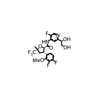 COc1c([C@@H]2C[C@](C)(C(F)(F)F)O[C@H]2C(=O)Nc2cc([C@@H](O)CO)ncc2F)ccc(F)c1F